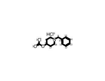 Cl.O=C(Cl)OC1CCN(Cc2ccccc2)CC1